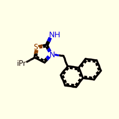 CC(C)c1cn(Cc2cccc3ccccc23)c(=N)s1